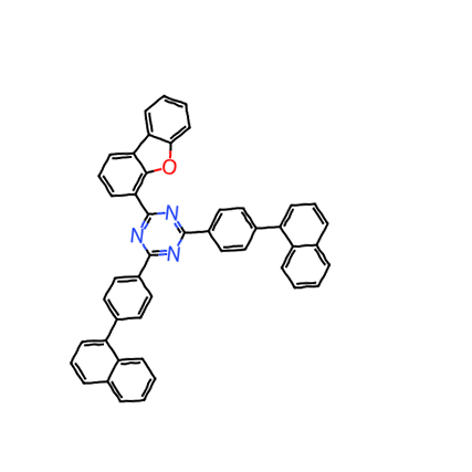 c1ccc2c(-c3ccc(-c4nc(-c5ccc(-c6cccc7ccccc67)cc5)nc(-c5cccc6c5oc5ccccc56)n4)cc3)cccc2c1